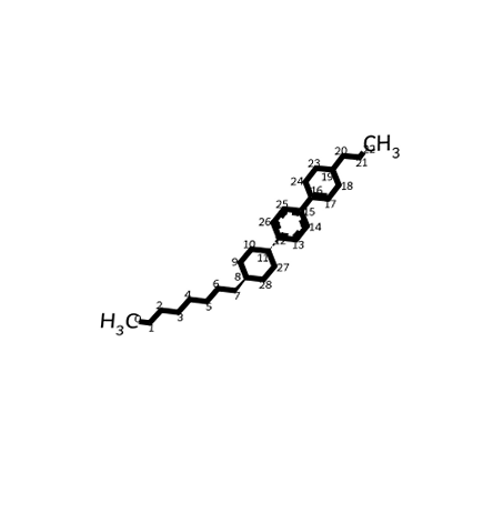 CCCCCCCC[C@H]1CC[C@H](c2ccc(C3=CCC(CCC)CC3)cc2)CC1